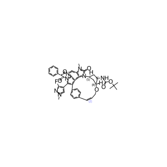 Cn1cc(-c2c3c4c(ncc5c4n(c(=O)n5C)[C@H]4C[C@H](NC(=O)OC(C)(C)C)[C@@H](C4)OC/C=C\c4ccc-3cc4)n2S(=O)(=O)c2ccccc2)c(F)n1